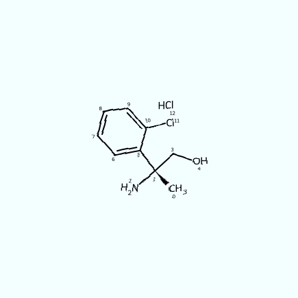 C[C@](N)(CO)c1ccccc1Cl.Cl